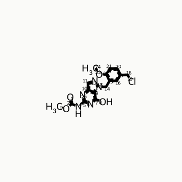 COC(=O)Nc1nc(O)c2c(cnn2Cc2cc(CCl)ccc2OC)n1